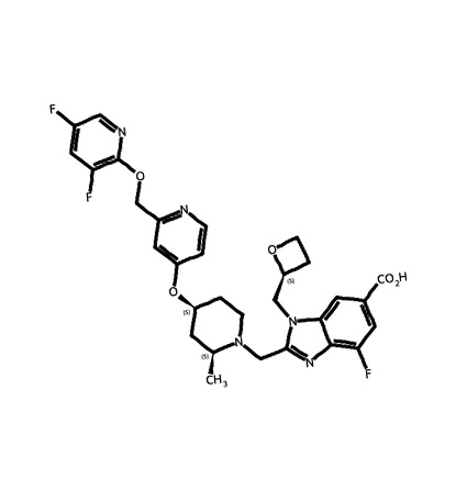 C[C@H]1C[C@@H](Oc2ccnc(COc3ncc(F)cc3F)c2)CCN1Cc1nc2c(F)cc(C(=O)O)cc2n1C[C@@H]1CCO1